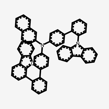 c1ccc(-c2cccc3c2oc2ccccc23)c(-c2ccc(N(c3ccc(-c4ccccc4-n4c5ccccc5c5ccccc54)cc3)c3ccc4ccccc4c3)cc2)c1